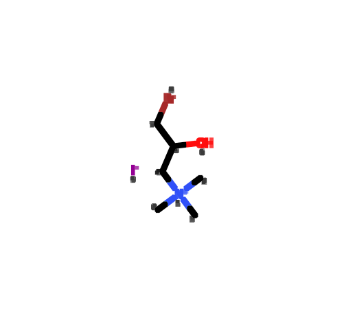 C[N+](C)(C)CC(O)CBr.[I-]